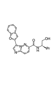 CC(C)[C@H](CO)NC(=O)c1ccc2ncc(-c3cc4ccccc4o3)n2n1